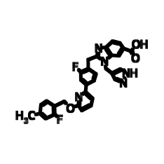 Cc1ccc(COc2cccc(-c3ccc(Cc4nc5ccc(C(=O)O)cc5n4Cc4cn[nH]c4)c(F)c3)n2)c(F)c1